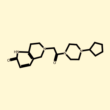 O=C(CN1CCc2[nH]c(=O)ccc2C1)N1CCN(C2CCCC2)CC1